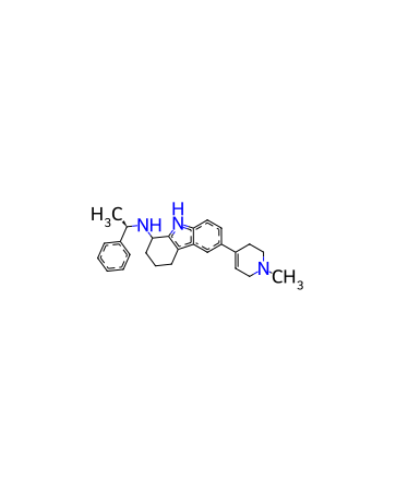 C[C@@H](NC1CCCc2c1[nH]c1ccc(C3=CCN(C)CC3)cc21)c1ccccc1